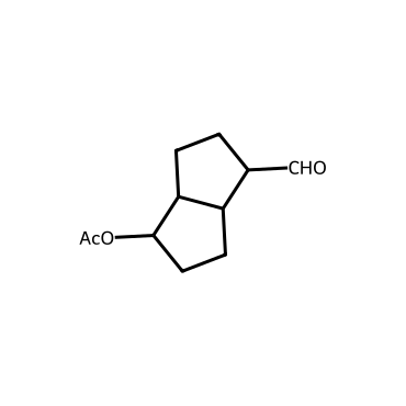 CC(=O)OC1CCC2C(C=O)CCC12